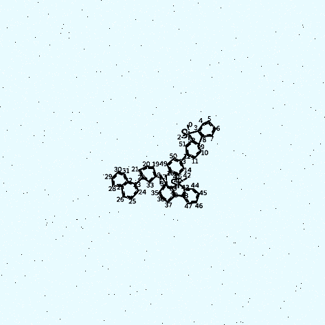 C[Si]1(C)c2ccccc2-c2ccc(-c3ccc(N(c4cccc(-c5cccc6ccccc56)c4)c4cccc5c4[Si](C)(C)c4ccccc4-5)cc3)cc21